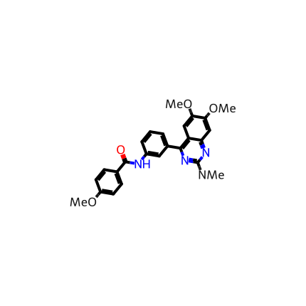 CNc1nc(-c2cccc(NC(=O)c3ccc(OC)cc3)c2)c2cc(OC)c(OC)cc2n1